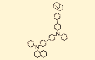 c1ccc(N(c2ccc(-c3ccc(N(c4ccccc4)c4cccc5ccccc45)cc3)cc2)c2ccc(-c3ccc(C45CC6CC(CC(C6)C4)C5)cc3)cc2)cc1